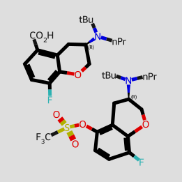 CCCN([C@H]1COc2c(F)ccc(C(=O)O)c2C1)C(C)(C)C.CCCN([C@H]1COc2c(F)ccc(OS(=O)(=O)C(F)(F)F)c2C1)C(C)(C)C